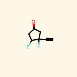 C#CC1(F)CC(=O)CC1F